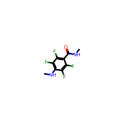 CNC(=O)c1c(F)c(F)c(NC)c(F)c1F